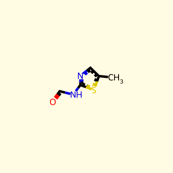 Cc1cnc(NC=O)s1